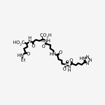 CCNC(=O)CCC(NC(=O)CC[C@H](NC(=O)CCCNC(=O)CCCS(=O)(=O)NC(=O)CCCc1nnn[nH]1)C(=O)O)C(=O)O